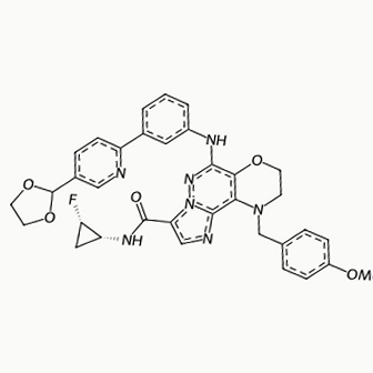 COc1ccc(CN2CCOc3c(Nc4cccc(-c5ccc(C6OCCO6)cn5)c4)nn4c(C(=O)N[C@@H]5C[C@@H]5F)cnc4c32)cc1